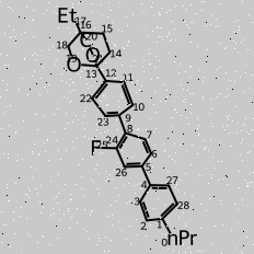 CCCc1ccc(-c2ccc(-c3ccc(C45CCC(CC)(CO4)CO5)cc3)c(F)c2)cc1